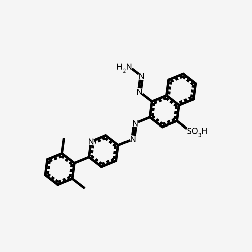 Cc1cccc(C)c1-c1ccc(/N=N/c2cc(S(=O)(=O)O)c3ccccc3c2N=NN)cn1